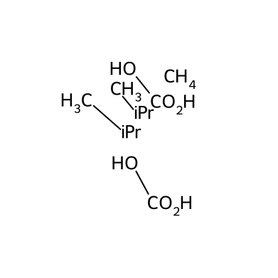 C.CC(C)C.CC(C)C.O=C(O)O.O=C(O)O